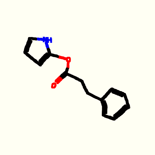 O=C(CCc1ccccc1)Oc1ccc[nH]1